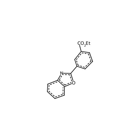 CCOC(=O)c1cccc(-c2nc3ccccc3o2)c1